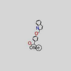 COC(=O)C(c1ccc(OCc2ccc3ccccc3n2)cc1)C1CCCCCC1